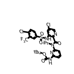 CC(C)N(C(=O)c1ncc(Cl)cc1NS(=O)(=O)c1ccc(Cl)c(C(F)(F)F)c1)c1cccc(NC(=O)OC(C)(C)C)n1